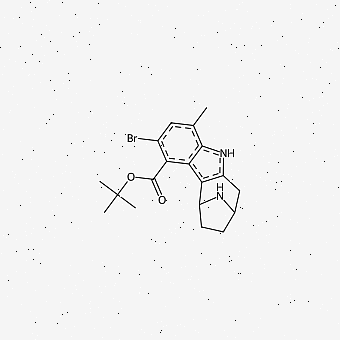 Cc1cc(Br)c(C(=O)OC(C)(C)C)c2c3c([nH]c12)CC1CCC3N1